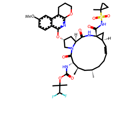 COc1ccc2c(O[C@@H]3C[C@H]4C(=O)N[C@]5(C(=O)NS(=O)(=O)C6(C)CC6)C[C@H]5/C=C\CC[C@H](C)C[C@@H](C)[C@H](NC(=O)OC(C)(C)C(F)F)C(=O)N4C3)nc3c(c2c1)CCCO3